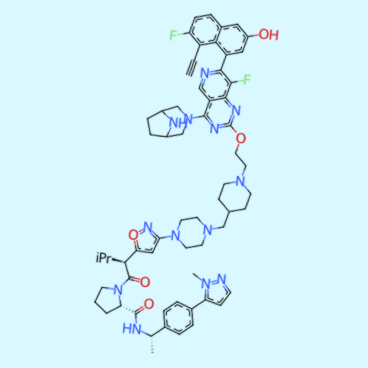 C#Cc1c(F)ccc2cc(O)cc(-c3ncc4c(N5CC6CCC(C5)N6)nc(OCCN5CCC(CN6CCN(c7cc([C@@H](C(=O)N8CCC[C@H]8C(=O)N[C@@H](C)c8ccc(-c9ccnn9C)cc8)C(C)C)on7)CC6)CC5)nc4c3F)c12